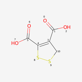 O=C(O)C1=C(C(=O)O)SSC1